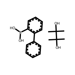 CC(C)(O)C(C)(C)O.OB(O)c1ccccc1-c1ccccc1